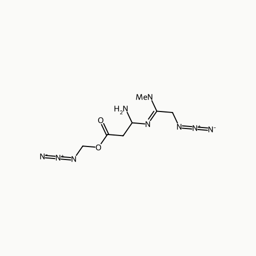 CN/C(CN=[N+]=[N-])=N\C(N)CC(=O)OCN=[N+]=[N-]